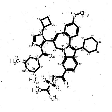 COc1ccc2c(c1)C=C(c1c(C(=O)N3C[C@@H](C)O[C@@H](C)C3)ncn1C1CCC1)Cn1c-2c(C2CCCCC2)c2ccc(C(=O)NS(=O)(=O)C(C)C)cc21